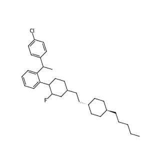 CCCCC[C@H]1CC[C@H](CCC2CCC(c3ccccc3C(C)c3ccc(Cl)cc3)C(F)C2)CC1